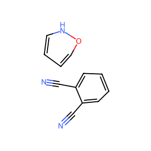 C1=CNOC=C1.N#Cc1ccccc1C#N